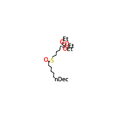 CCCCCCCCCCCCCCCC(=O)SCCCCC[Si](OCC)(OCC)OCC